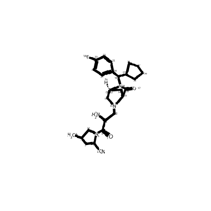 CC1CC(C#N)N(C(=O)C(N)CN2C[C@@H]3CC2C(=O)N3C(c2ccc(F)cc2)C2CCCC2)C1